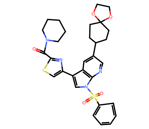 O=C(c1nc(-c2cn(S(=O)(=O)c3ccccc3)c3ncc(C4CCC5(CC4)OCCO5)cc23)cs1)N1CCCCC1